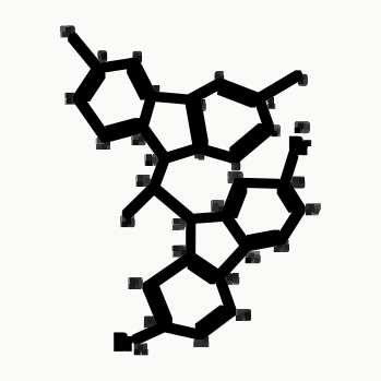 Cc1ccc2c(c1)-c1cc(C)ccc1C2C(C)C1c2cc(Br)ccc2-c2ccc(Br)cc21